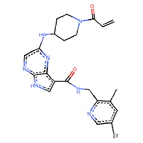 C=CC(=O)N1CCC(Nc2cnc3[nH]cc(C(=O)NCc4ncc(CC)cc4C)c3n2)CC1